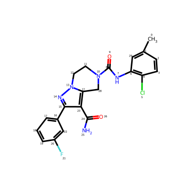 Cc1ccc(Cl)c(NC(=O)N2CCn3nc(-c4cccc(F)c4)c(C(N)=O)c3C2)c1